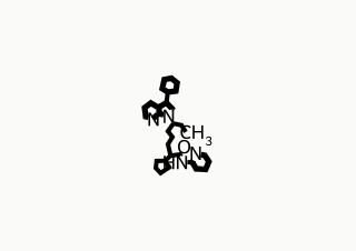 CCC(CCCC(C(=O)Nc1ccccn1)C1CCCC1)n1cc(-c2ccccc2)c2cccnc21